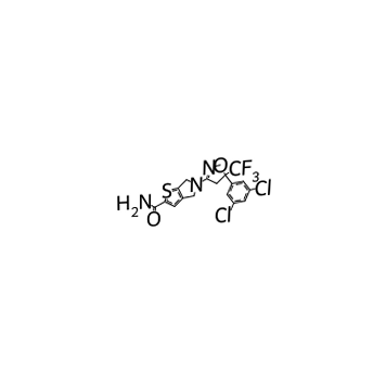 NC(=O)c1cc2c(s1)CN(C1=NOC(c3cc(Cl)cc(Cl)c3)(C(F)(F)F)C1)C2